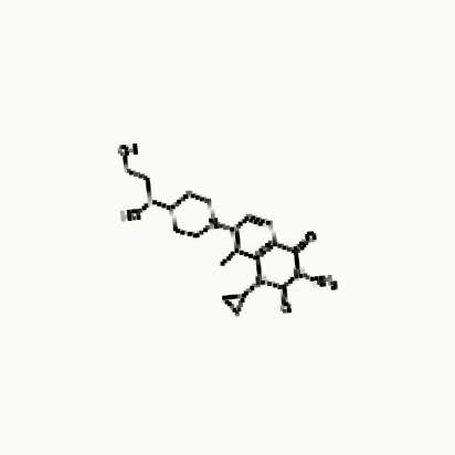 Cc1c(N2CCC(C(O)CCO)CC2)ccc2c(=O)n(N)c(=O)n(C3CC3)c12